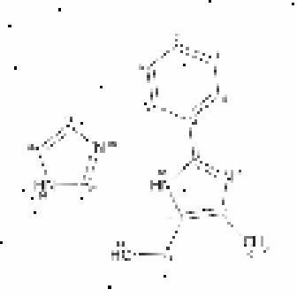 Cc1nc(-c2ccccc2)[nH]c1CO.c1c[nH]cn1